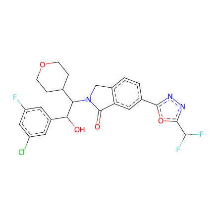 O=C1c2cc(-c3nnc(C(F)F)o3)ccc2CN1C(C1CCOCC1)C(O)c1cc(F)cc(Cl)c1